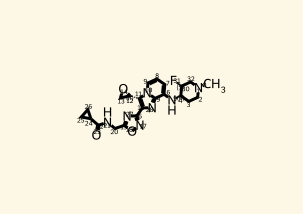 CN1CC[C@@H](Nc2cccn3c([C@@H]4CO4)c(-c4noc(CNC(=O)C5CC5)n4)nc23)[C@@H](F)C1